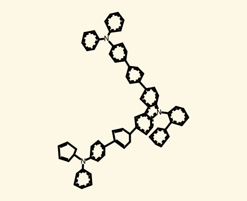 C1=CCC(N(c2ccccc2)c2ccc(C3=CCC(c4ccc5c(c4)c4cc(-c6ccc(-c7ccc(N(c8ccccc8)c8ccccc8)cc7)cc6)ccc4n5-c4ccccc4-c4ccccc4)C=C3)cc2)C=C1